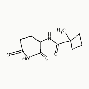 CC1(C(=O)NC2CCC(=O)NC2=O)CCC1